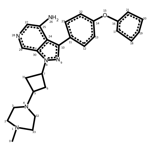 CN1CCN(C2CC(n3nc(-c4ccc(Oc5ccccc5)cc4)c4c(N)cncc43)C2)CC1